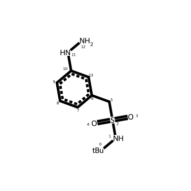 CC(C)(C)NS(=O)(=O)Cc1cccc(NN)c1